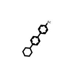 CC(=O)c1ccc(-c2ccc(C3CCCCC3)cc2)cc1